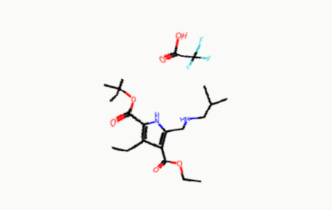 CCOC(=O)c1c(CNCC(C)C)[nH]c(C(=O)OC(C)(C)C)c1CC.O=C(O)C(F)(F)F